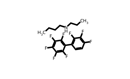 CCCCNCCC.Fc1ccc(-c2c(F)c(F)c(F)c(F)c2F)c(F)c1F